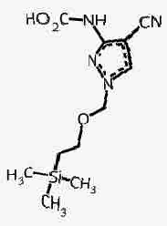 C[Si](C)(C)CCOCn1cc(C#N)c(NC(=O)O)n1